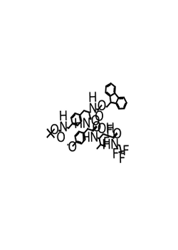 COc1ccc(C(NC(=O)C(Cc2ccc(CNC(=O)OC(C)(C)C)cc2)NC(=O)OCC2c3ccccc3-c3ccccc32)C(=O)NC(C(C)C)C(O)C(F)(F)C(=O)NCC(F)(F)F)cc1